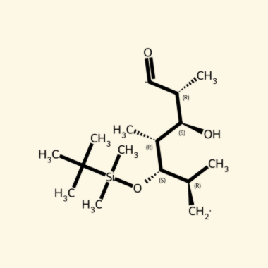 [CH2][C@H](C)[C@H](O[Si](C)(C)C(C)(C)C)[C@H](C)[C@H](O)[C@@H](C)[C]=O